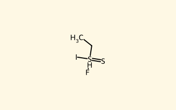 CC[SH](F)(=S)I